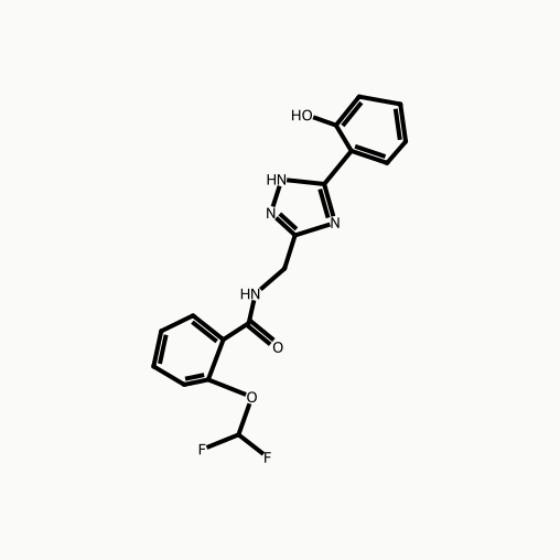 O=C(NCc1n[nH]c(-c2ccccc2O)n1)c1ccccc1OC(F)F